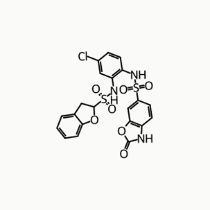 O=c1[nH]c2ccc(S(=O)(=O)Nc3ccc(Cl)cc3NS(=O)(=O)C3Cc4ccccc4O3)cc2o1